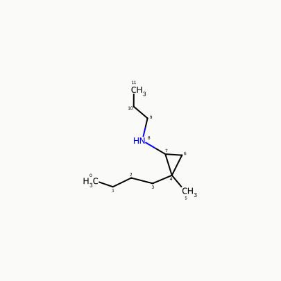 CCCCC1(C)CC1NCCC